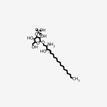 CCCCCCCCCCCCC/C=C/[C@@H](O)[C@@H](N)CO[C@@H]1OC(CO)[C@H](O)C(OS(=O)(=O)O)[C@@H]1O